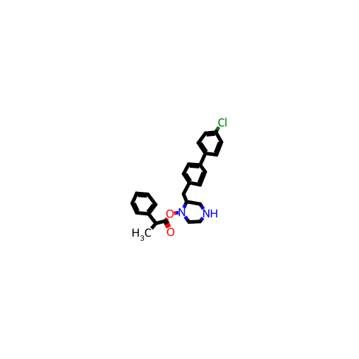 CC(C(=O)ON1CCNCC1Cc1ccc(-c2ccc(Cl)cc2)cc1)c1ccccc1